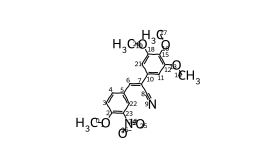 COc1ccc(/C=C(\C#N)c2cc(OC)c(OC)c(OC)c2)cc1[N+](=O)[O-]